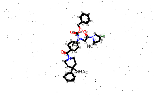 CC(=O)NC1(c2ccccc2)CCN(C(=O)C23CCC(N(CC(=O)N4C[C@@H](F)C[C@H]4C#N)C(=O)OCc4ccccc4)(CC2)CC3)CC1